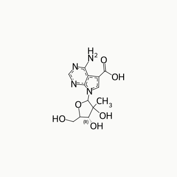 CC1(O)C(n2cc(C(=O)O)c3c(N)ncnc32)OC(CO)[C@H]1O